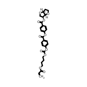 C=CC(=O)OCCCCOC(=O)Oc1ccc(C(=O)Oc2ccc(C(=O)O[C@H]3CO[C@@H]4CCO[C@H]34)cc2)cc1